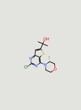 C[C@@H]1COCCN1c1nc(Cl)nc2cc(C(C)(C)O)sc12